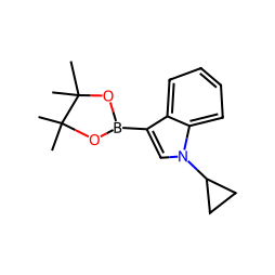 CC1(C)OB(c2cn(C3CC3)c3ccccc23)OC1(C)C